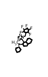 CP(c1ccccc1)c1ccc2ccccc2c1-c1ncnn1Cc1c(F)c(F)c(F)c(F)c1F